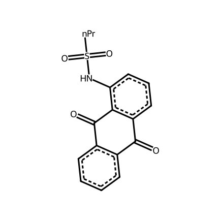 CCCS(=O)(=O)Nc1cccc2c1C(=O)c1ccccc1C2=O